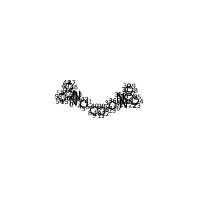 Cn1c(-c2ccc(-c3ccc4ccc(-c5ccc(-c6nc7c8ccccc8c8ccccc8c7n6C)cc5)cc4c3)cc2)nc2c3ccccc3c3ccccc3c21